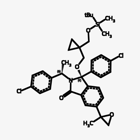 C[C@@H](c1ccc(Cl)cc1)N1C(=O)c2cc(C3(C)CO3)ccc2[C@]1(OCC1(CO[Si](C)(C)C(C)(C)C)CC1)c1ccc(Cl)cc1